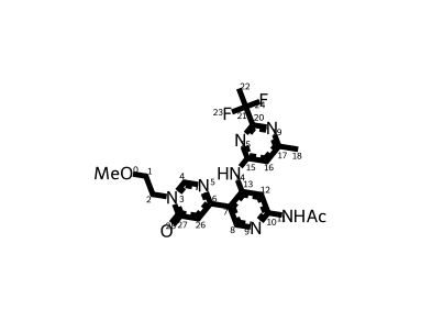 COCCn1cnc(-c2cnc(NC(C)=O)cc2Nc2cc(C)nc(C(C)(F)F)n2)cc1=O